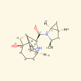 N#C[C@@H]1C[C@@H]2C[C@@H]2N1C(=O)[C@H]1N[C@H]2[C@@H]3CCC[C@]4(O)C[C@@]12C4C3